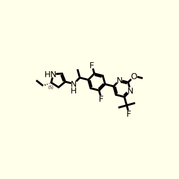 CC[C@H]1CC(NC(C)c2cc(F)c(-c3cc(C(C)(C)F)nc(OC)n3)cc2F)=CN1